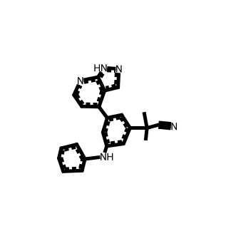 CC(C)(C#N)c1cc(Nc2ccccc2)cc(-c2ccnc3[nH]ncc23)c1